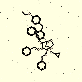 CCOc1ccc(Cc2cc([C@]34OC[C@](OC5CC5)(O3)[C@@H](OCc3ccccc3)[C@H](OCc3ccccc3)[C@H]4OCc3ccccc3)ccc2Cl)cc1